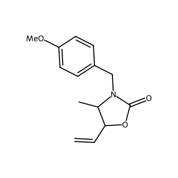 C=CC1OC(=O)N(Cc2ccc(OC)cc2)C1C